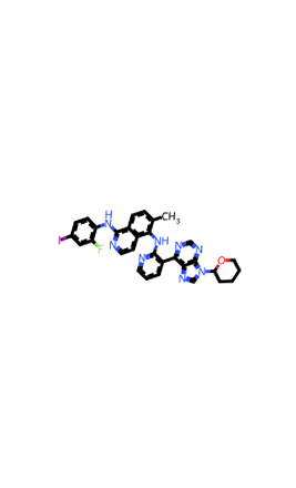 Cc1ccc2c(Nc3ccc(I)cc3F)nccc2c1Nc1ncccc1-c1ncnc2c1ncn2C1CCCCO1